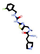 CN(Cc1csc(NC(=O)NCc2cccc(F)c2)n1)C(=O)[C@@H](N)Cc1ccncc1